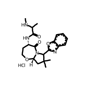 CNC(C)C(=O)N[C@H]1CCO[C@H]2CC(C)(C)C(c3nc4ccccc4o3)N2C1=O.Cl